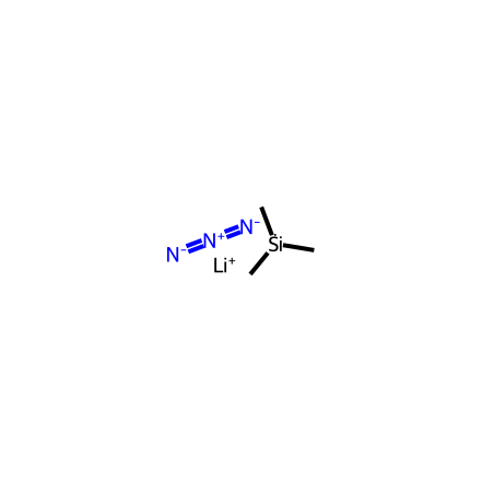 C[Si](C)C.[Li+].[N-]=[N+]=[N-]